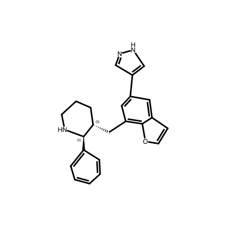 [CH](c1cc(-c2cn[nH]c2)cc2ccoc12)[C@H]1CCCN[C@@H]1c1ccccc1